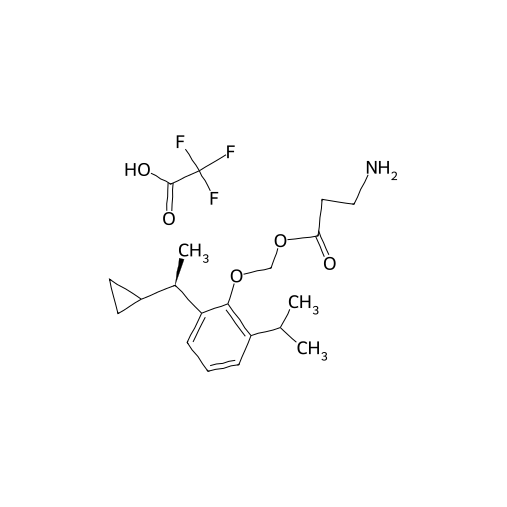 CC(C)c1cccc([C@H](C)C2CC2)c1OCOC(=O)CCN.O=C(O)C(F)(F)F